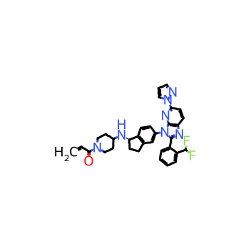 C=CC(=O)N1CCC(N[C@H]2CCc3cc(-n4c(-c5ccccc5C(F)F)nc5ccc(-n6cccn6)nc54)ccc32)CC1